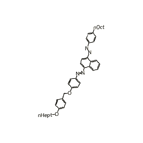 CCCCCCCCc1ccc(N=Nc2ccc(N=Nc3ccc(OCc4ccc(OCCCCCCC)cc4)cc3)c3ccccc23)cc1